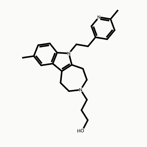 Cc1ccc2c(c1)c1c(n2CCc2ccc(C)nc2)CCN(CCCO)CC1